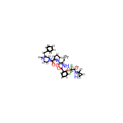 CC(C)C[C@@H](NC(=O)c1ccccc1OC(F)(F)C(=O)NC1(C)CC1)C(=O)N1CCC[C@@H]1C(=O)N1CCN(C)[C@@H](Cc2ccccc2)C1